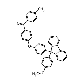 COc1ccc(C2(c3ccc(Oc4ccc(C(=O)c5ccc(C)cc5)cc4)cc3)c3ccccc3-c3ccccc32)cc1